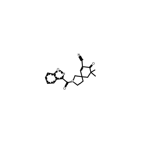 CC1(C)CC2(C=C(C#N)C1=O)CCN(C(=O)c1noc3ccccc13)C2